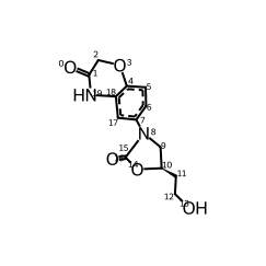 O=C1COc2ccc(N3C[C@@H](CCO)OC3=O)cc2N1